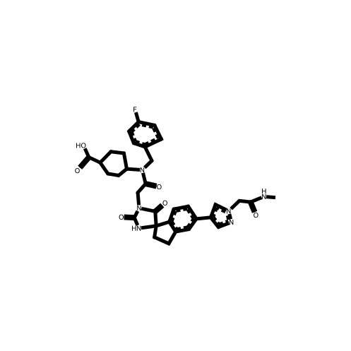 CNC(=O)Cn1cc(-c2ccc3c(c2)CCC32NC(=O)N(CC(=O)N(Cc3ccc(F)cc3)C3CCC(C(=O)O)CC3)C2=O)cn1